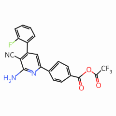 N#Cc1c(-c2ccccc2F)cc(-c2ccc(C(=O)OC(=O)C(F)(F)F)cc2)nc1N